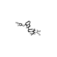 COCCN(C(=O)O)C(c1ccc(-c2cc3nccc(Oc4ccc(N)c(F)c4)c3s2)nc1)C(C)(C)C